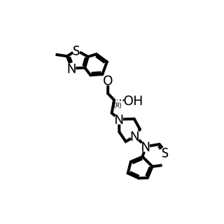 Cc1nc2cc(OC[C@H](O)CN3CCN(N(C=S)c4ccccc4C)CC3)ccc2s1